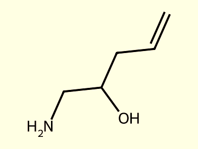 C=CCC(O)CN